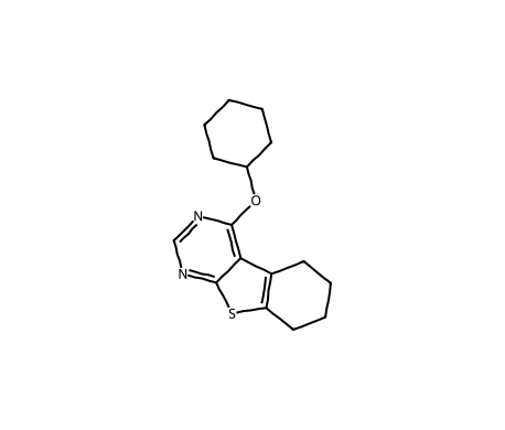 c1nc(OC2CCCCC2)c2c3c(sc2n1)CCCC3